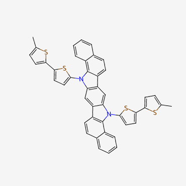 Cc1ccc(-c2ccc(-n3c4cc5c6ccc7ccccc7c6n(-c6ccc(-c7ccc(C)s7)s6)c5cc4c4ccc5ccccc5c43)s2)s1